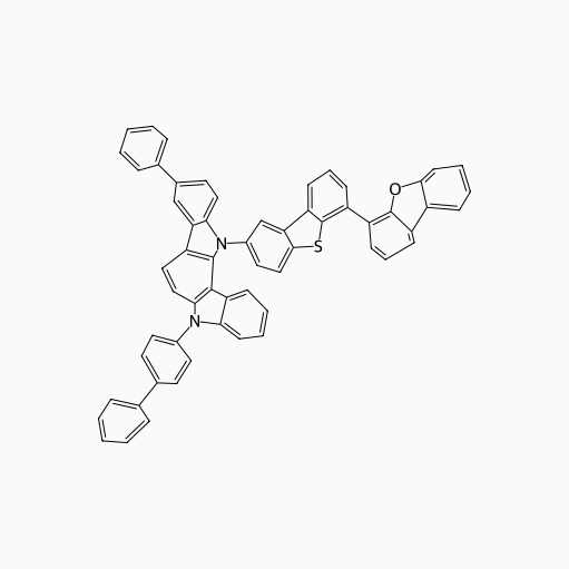 c1ccc(-c2ccc(-n3c4ccccc4c4c3ccc3c5cc(-c6ccccc6)ccc5n(-c5ccc6sc7c(-c8cccc9c8oc8ccccc89)cccc7c6c5)c34)cc2)cc1